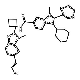 CC(=O)/C=C/c1ccc2nc(C3(NC(=O)c4ccc5c(C6CCCCC6)c(-c6cnccn6)n(C)c5c4)CCC3)n(C)c2c1